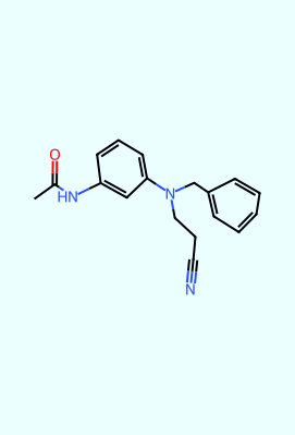 CC(=O)Nc1cccc(N(CCC#N)Cc2ccccc2)c1